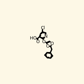 O=C(O)c1cc(Cl)cnc1OC1=COC(Cc2ccccc2)O1